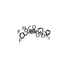 C[C@H](NC(=O)Cc1cc(F)cc(F)c1)C(=O)N[C@H]1C=CC[C@@H](c2ccccc2)N(C)C1=O